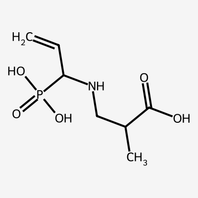 C=CC(NCC(C)C(=O)O)P(=O)(O)O